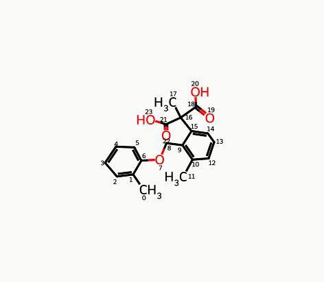 Cc1ccccc1OCc1c(C)cccc1C(C)(C(=O)O)C(=O)O